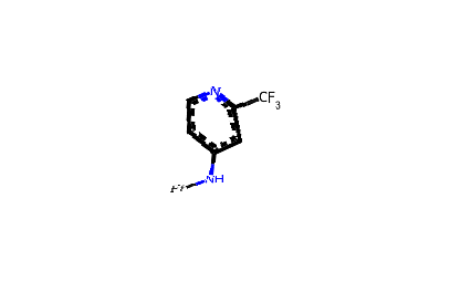 CCNc1ccnc(C(F)(F)F)c1